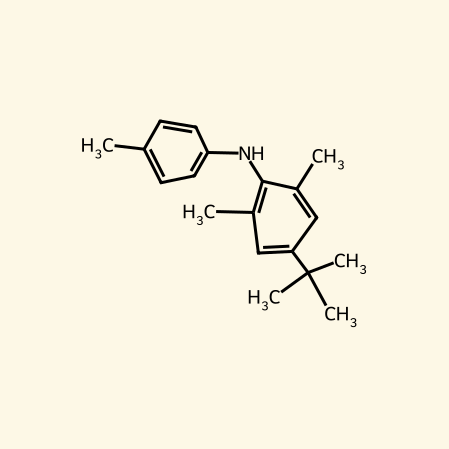 Cc1ccc(Nc2c(C)cc(C(C)(C)C)cc2C)cc1